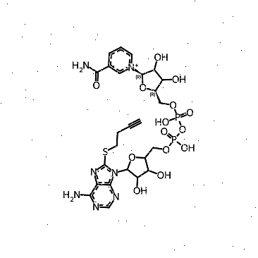 C#CCCSc1nc2c(N)ncnc2n1C1OC(COP(=O)(O)OP(=O)(O)OC[C@H]2O[C@@H]([n+]3cccc(C(N)=O)c3)C(O)C2O)C(O)C1O